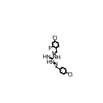 N=C(N/N=C/c1ccc(Cl)cc1)N/N=C/c1ccc(Cl)cc1F